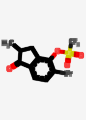 CC1Cc2c(ccc(C(C)C)c2OS(=O)(=O)C(F)(F)F)C1=O